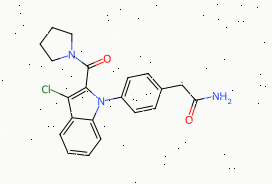 NC(=O)[CH]c1ccc(-n2c(C(=O)N3CCCC3)c(Cl)c3ccccc32)cc1